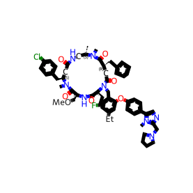 CCc1ccc(CN2C(=O)C[C@@H](Cc3ccccc3)C(=O)N(C)[C@@H](C)CNC(=O)C[C@H](Cc3ccc(Cl)cc3)N(C)C(=O)[C@H](COC)NC(=O)[C@@H]2CCF)c(Oc2ccc(-c3cnc(CN4CCCC4)n3C)cc2)c1